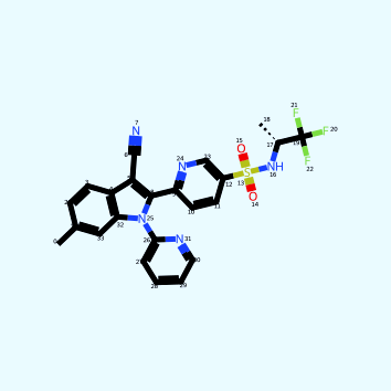 Cc1ccc2c(C#N)c(-c3ccc(S(=O)(=O)N[C@H](C)C(F)(F)F)cn3)n(-c3ccccn3)c2c1